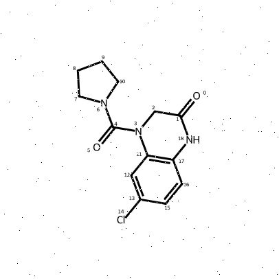 O=C1CN(C(=O)N2CCCC2)c2cc(Cl)ccc2N1